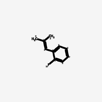 CC(C)=Cc1ccccc1F